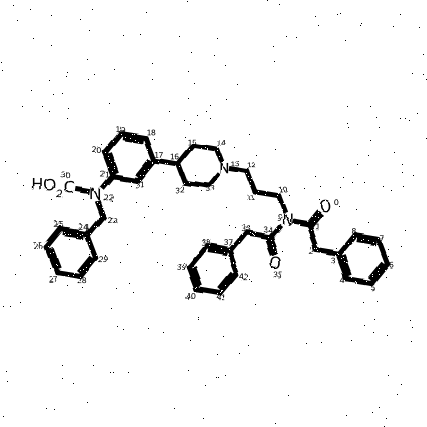 O=C(Cc1ccccc1)N(CCCN1CCC(c2cccc(N(Cc3ccccc3)C(=O)O)c2)CC1)C(=O)Cc1ccccc1